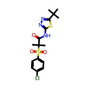 CC(C)(C)c1nnc(NC(=O)C(C)(C)S(=O)(=O)c2ccc(Cl)cc2)s1